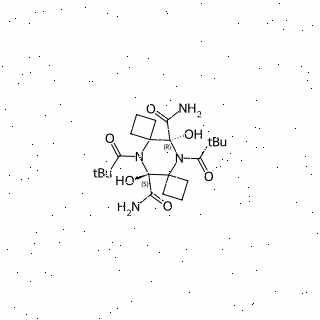 CC(C)(C)C(=O)N1C2(CCC2)[C@](O)(C(N)=O)N(C(=O)C(C)(C)C)C2(CCC2)[C@@]1(O)C(N)=O